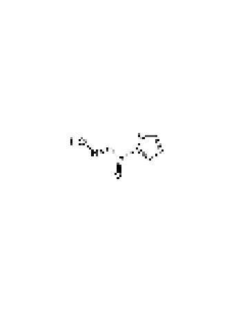 O=C(C=NO)c1ccco1